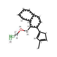 CC1=CCC(c2ccc3ccccc3[c]2[Ti][O]C(C)C)=C1.Cl.Cl